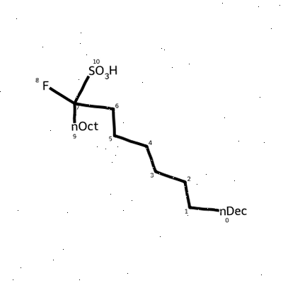 CCCCCCCCCCCCCCCCC(F)(CCCCCCCC)S(=O)(=O)O